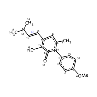 COc1ccc(-n2c(C)cc(/C=C/N(C)C)c(C#N)c2=O)cc1